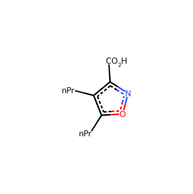 CCCc1onc(C(=O)O)c1CCC